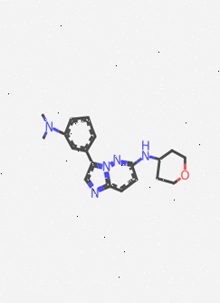 CN(C)c1cccc(-c2cnc3ccc(NC4CCOCC4)nn23)c1